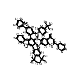 C=C1C=C(c2ccccc2)Sc2cc3c(cc21)B1c2c(c4c5ccccc5oc4c4c5cc6c(cc5n-3c24)C(C)(C)CCC6(C)C)-c2cc3c(cc2N1c1ccc(C(C)(C)C)cc1)sc1ccccc13